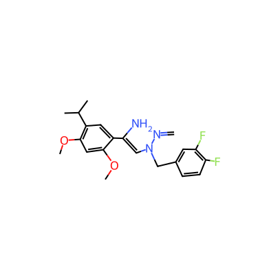 C=NN(/C=C(\N)c1cc(C(C)C)c(OC)cc1OC)Cc1ccc(F)c(F)c1